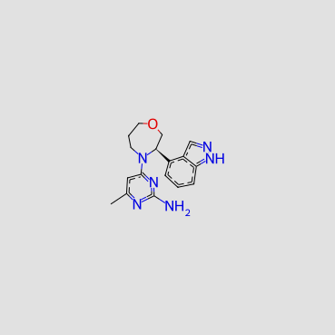 Cc1cc(N2CCCOC[C@H]2c2cccc3[nH]ncc23)nc(N)n1